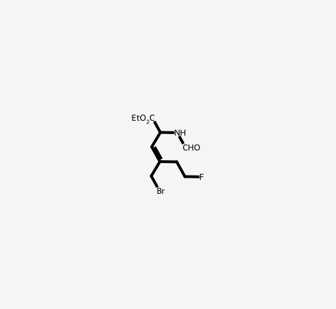 CCOC(=O)C(C=C(CBr)CCF)NC=O